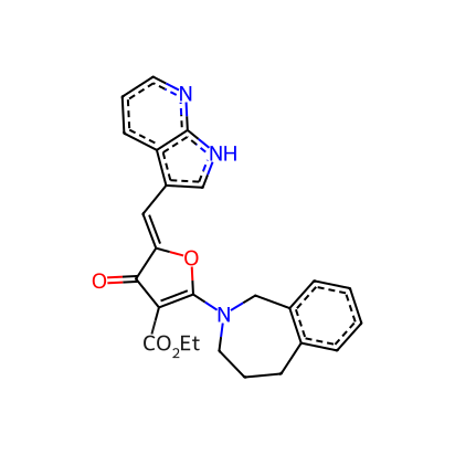 CCOC(=O)C1=C(N2CCCc3ccccc3C2)OC(=Cc2c[nH]c3ncccc23)C1=O